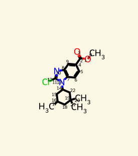 COC(=O)c1ccc2c(c1)nc(Cl)n2C1CC(C)CC(C)(C)C1